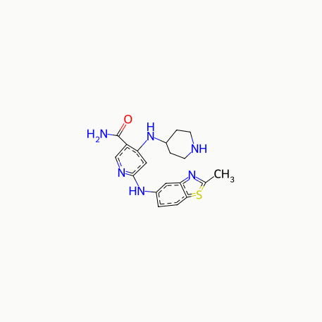 Cc1nc2cc(Nc3cc(NC4CCNCC4)c(C(N)=O)cn3)ccc2s1